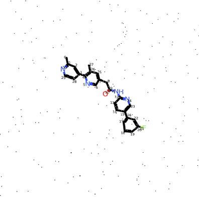 Cc1cc(-c2ncc(CC(=O)Nc3ccc(-c4cccc(F)c4)cn3)cc2C)ccn1